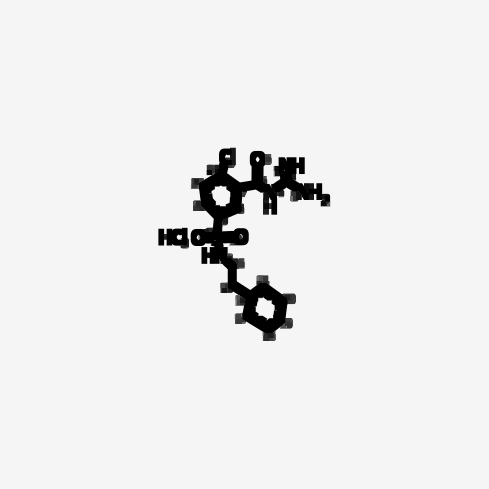 Cl.N=C(N)NC(=O)c1cc(S(=O)(=O)NCCc2ccccc2)ccc1Cl